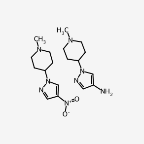 CN1CCC(n2cc(N)cn2)CC1.CN1CCC(n2cc([N+](=O)[O-])cn2)CC1